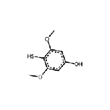 COc1cc(O)cc(OC)c1S